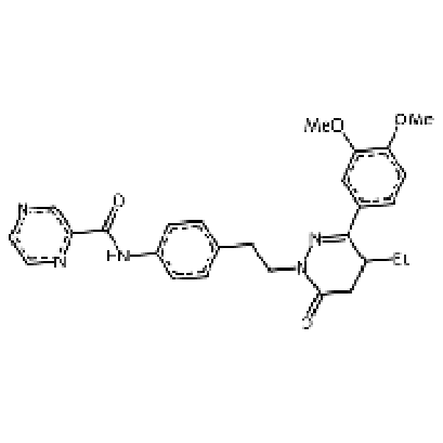 CCC1CC(=O)N(CCc2ccc(NC(=O)c3cnccn3)cc2)N=C1c1ccc(OC)c(OC)c1